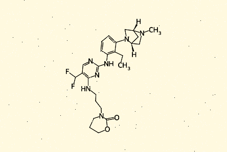 CCc1c(Nc2ncc(C(F)F)c(NCCCN3CCCOC3=O)n2)cccc1N1C[C@H]2C[C@@H]1CN2C